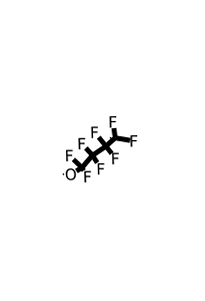 [O]C(F)(F)C(F)(F)C(F)(F)[C](F)F